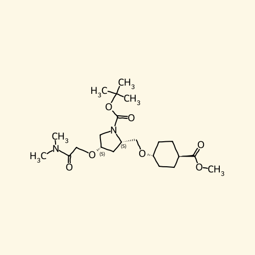 COC(=O)[C@H]1CC[C@H](OC[C@@H]2C[C@H](OCC(=O)N(C)C)CN2C(=O)OC(C)(C)C)CC1